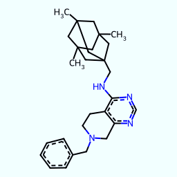 CC12CC3(C)CC(C)(C1)CC(CNc1ncnc4c1CCN(Cc1ccccc1)C4)(C2)C3